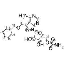 Nc1ncnc2c1c(COCc1ccccc1)nn2[C@@H]1O[C@H](COS(N)(=O)=O)[C@@H](O)[C@H]1O